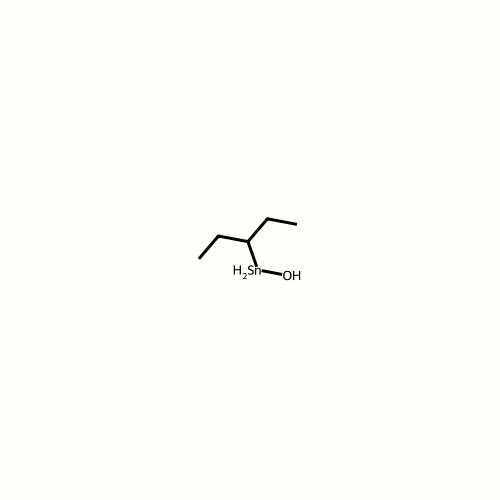 CC[CH](CC)[SnH2][OH]